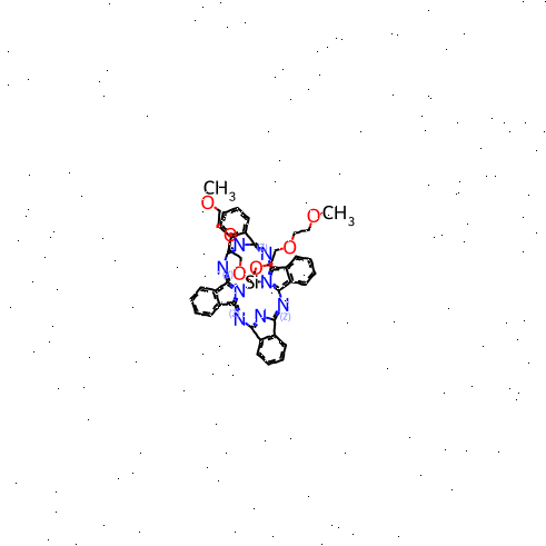 COCCOCCO[Si]1(OCCOCCOC)n2c3c4ccccc4c2/N=C2N=C(/N=c4/c5ccccc5/c(n41)=N/C1=NC(=N\3)/c3ccccc31)c1ccccc1\2